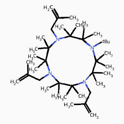 C=C(C)CN1C(C)(C)C(C)(C)N(CC(=C)C)C(C)(C)C(C)(C)N(C(C)(C)C)C(C)(C)C(C)(C)N(CC(=C)C)C(C)(C)C1(C)C